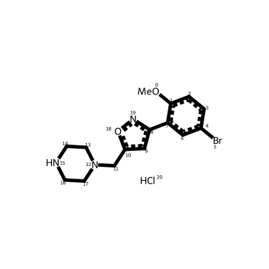 COc1ccc(Br)cc1-c1cc(CN2CCNCC2)on1.Cl